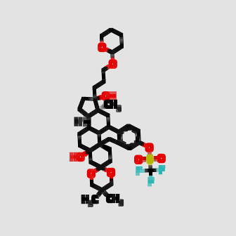 CC1(C)COC2(CC[C@@]34Cc5cc(OS(=O)(=O)C(F)(F)F)ccc5C5C[C@@]6(C)[C@H](CC[C@]6(O)CCCOC6CCCCO6)[C@H](CC[C@@]3(O)C2)C54)OC1